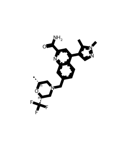 Cc1c(-c2cc(C(N)=O)nc3cc(CN4C[C@@H](C)O[C@@H](C(F)(F)F)C4)ccc23)cnn1C